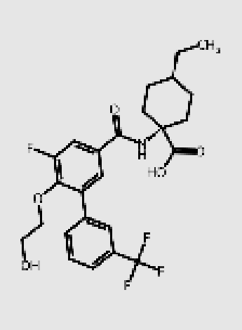 CC[C@H]1CC[C@](NC(=O)c2cc(F)c(OCCO)c(-c3cccc(C(F)(F)F)c3)c2)(C(=O)O)CC1